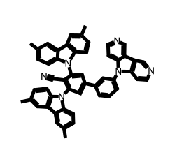 Cc1ccc2c(c1)c1cc(C)ccc1n2-c1cc(-c2cccc(-n3c4ccncc4c4cnccc43)c2)cc(-n2c3ccc(C)cc3c3cc(C)ccc32)c1C#N